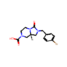 O=C(O)N1CCN2C(=O)N(Cc3ccc(Br)cc3)C[C@@H]2C1